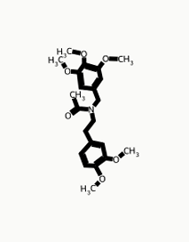 COc1ccc(CCN(Cc2cc(OC)c(OC)c(OC)c2)C(C)=O)cc1OC